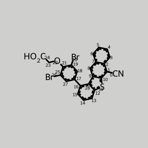 N#Cc1c2ccccc2cc2c1sc1cccc(-c3cc(Br)c(OCC(=O)O)c(Br)c3)c12